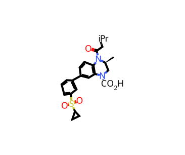 CC(C)CC(=O)N1c2ccc(-c3cccc(S(=O)(=O)C4CC4)c3)cc2N(C(=O)O)C[C@@H]1C